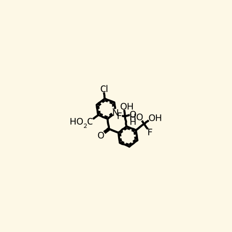 O=C(O)c1cc(Cl)cnc1C(=O)c1cccc(C(O)(O)F)c1C(O)(O)F